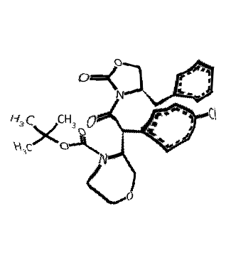 CC(C)(C)OC(=O)N1CCOCC1[C@@H](C(=O)N1C(=O)OC[C@H]1Cc1ccccc1)c1ccc(Cl)cc1